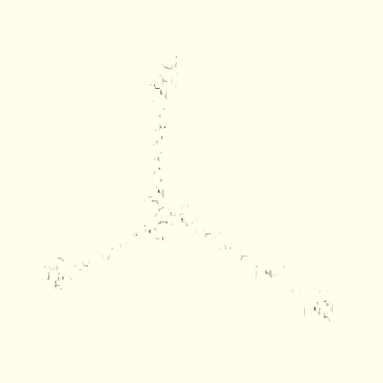 O=C(CCCCCC1SCC2NC(=O)NC21)NCCCOCCOCCOCCCNC(=O)c1cc(C(=O)NCCCOCCOCCOCCCNC(=O)c2ccc(I)cc2)cc(C(=O)NCCCOCCOCCOCCCN2C(=O)C=CC2=O)c1